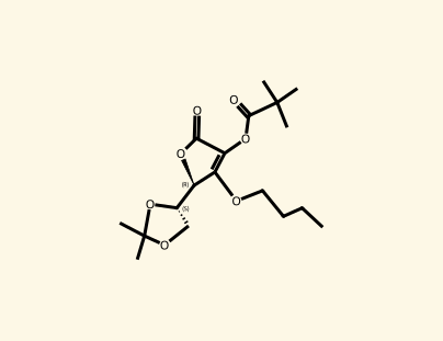 CCCCOC1=C(OC(=O)C(C)(C)C)C(=O)O[C@@H]1[C@@H]1COC(C)(C)O1